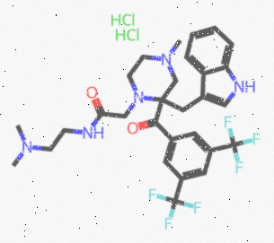 CN(C)CCNC(=O)CN1CCN(C)CC1(Cc1c[nH]c2ccccc12)C(=O)c1cc(C(F)(F)F)cc(C(F)(F)F)c1.Cl.Cl